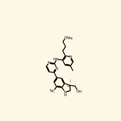 COCCCc1ncc(C)cc1Nc1nccc(-c2cc(C#N)c3c(c2)[C@@](C)(CO)CN3)n1